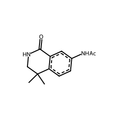 CC(=O)Nc1ccc2c(c1)C(=O)NCC2(C)C